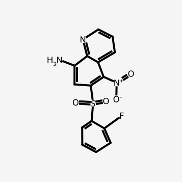 Nc1cc(S(=O)(=O)c2ccccc2F)c([N+](=O)[O-])c2cccnc12